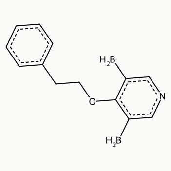 Bc1cncc(B)c1OCCc1ccccc1